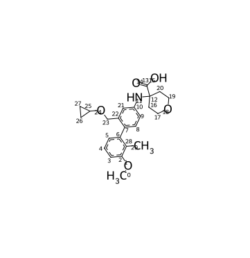 COc1cccc(-c2ccc(NC3(C(=O)O)CCOCC3)cc2COC2CC2)c1C